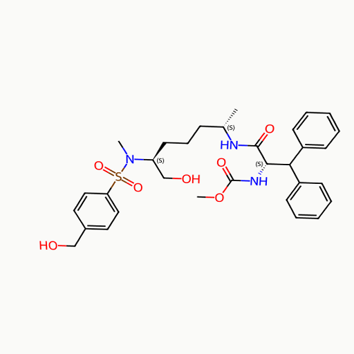 COC(=O)N[C@H](C(=O)N[C@@H](C)CCC[C@@H](CO)N(C)S(=O)(=O)c1ccc(CO)cc1)C(c1ccccc1)c1ccccc1